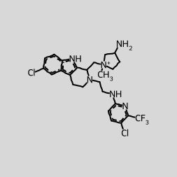 C[N+]1(CC2c3[nH]c4ccc(Cl)cc4c3CCN2CCNc2ccc(Cl)c(C(F)(F)F)n2)CCC(N)C1